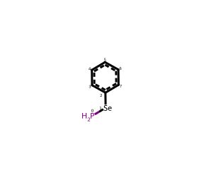 P[Se]c1ccccc1